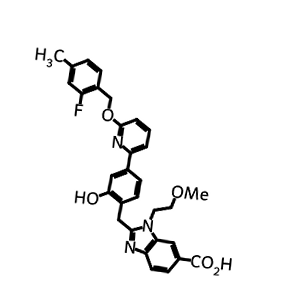 COCCn1c(Cc2ccc(-c3cccc(OCc4ccc(C)cc4F)n3)cc2O)nc2ccc(C(=O)O)cc21